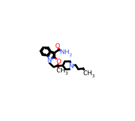 CCCCN1CCC(C2(C)CCn3c(c(C(N)=O)c4ccccc43)O2)CC1